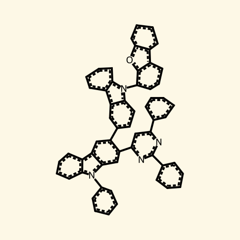 c1ccc(-c2cc(-c3cc4c(cc3-c3ccc5c(c3)c3ccccc3n5-c3cccc5c3oc3ccccc35)c3ccccc3n4-c3ccccc3)nc(-c3ccccc3)n2)cc1